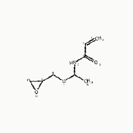 C=CC(=O)NC(C)OCC1CO1